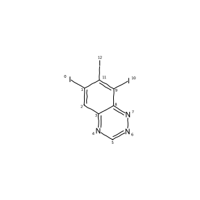 Ic1cc2ncnnc2c(I)c1I